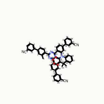 Cc1cc(-c2cccc(C#N)c2)ccc1-c1nc(-c2ccc(-c3cccc(C#N)c3)cc2)nc(-c2ccc(-c3cccc(C#N)c3)cc2N2c3ccccc3C(C)(C)c3ccccc32)n1